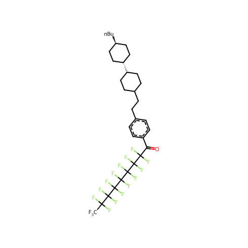 CCCC[C@H]1CC[C@H](C2CCC(CCc3ccc(C(=O)C(F)(F)C(F)(F)C(F)(F)C(F)(F)C(F)(F)C(F)(F)C(F)(F)C(F)(F)F)cc3)CC2)CC1